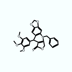 COc1cc(C2C3=C(COC3=S)N(Cc3ccccc3)c3cc4c(cc32)OCO4)cc(OC)c1OC